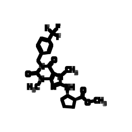 COC(=O)[C@H]1CCC[C@H]1Nc1nc2c(c(=O)n(Cc3ccc(C(F)(F)F)cc3)c(=O)n2C)n1C